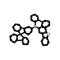 c1ccc(-c2ccccc2N(c2ccc3c(c2)-c2ccccc2C32c3ccccc3-c3ccccc32)c2ccc3oc4ccccc4c3c2)cc1